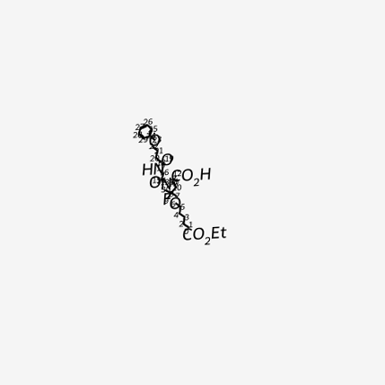 CCOC(=O)CCCCCOCC1(F)C[C@H](C(=O)O)N(C(=O)CNC(=O)CCCOc2ccccc2)C1